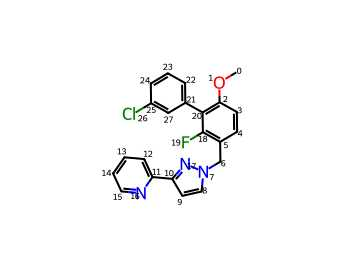 COc1ccc(Cn2ccc(-c3ccccn3)n2)c(F)c1-c1cccc(Cl)c1